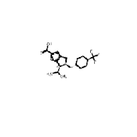 CC(C)[C@H]1c2sc(C(=O)O)cc2CN1C[C@H]1CC[C@H](C(F)(F)F)CC1